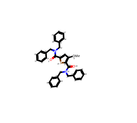 COc1cc(C(=O)N(Cc2ccccc2)Cc2ccccc2)sc1C(=O)N(Cc1ccccc1)Cc1ccccc1